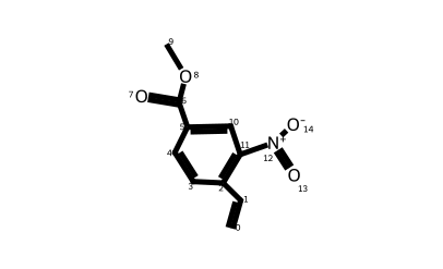 C=Cc1ccc(C(=O)OC)cc1[N+](=O)[O-]